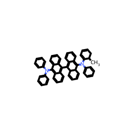 CC1CC=CC=C1N(C1=c2ccccc2=C(c2c3ccccc3c(N(c3ccccc3)c3ccccc3)c3ccccc23)C2C=CC=CC12)c1ccccc1